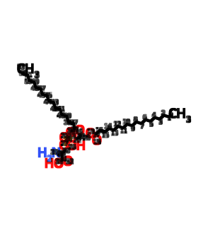 CCCCCCCCCCCCCCCC=CC(=O)OC[C@H](COP(=O)(O)OC[C@H](N)C(=O)O)OC(=O)C=CCCCCCCCCCCCCCCC